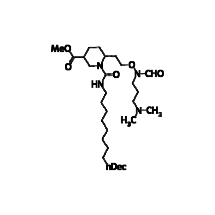 CCCCCCCCCCCCCCCCCCNC(=O)N1CC(C(=O)OC)CCC1CCON(C=O)CCCN(C)C